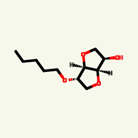 CCCCCO[C@H]1CO[C@H]2[C@@H]1OC[C@H]2O